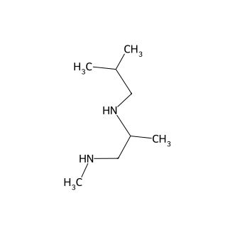 CNCC(C)NCC(C)C